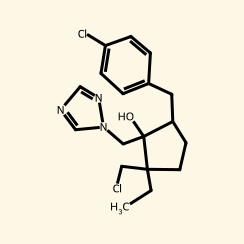 CCC1(CCl)CCC(Cc2ccc(Cl)cc2)C1(O)Cn1cncn1